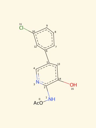 CC(=O)ONc1ncc(-c2cccc(Cl)c2)cc1O